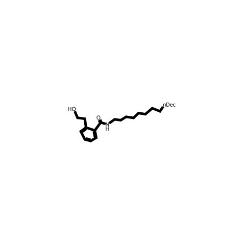 CCCCCCCCCCCCCCCCCCNC(=O)c1ccccc1CCO